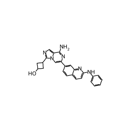 Nc1nc(-c2ccc3ccc(Nc4ccccc4)nc3c2)cn2c(C3CC(O)C3)ncc12